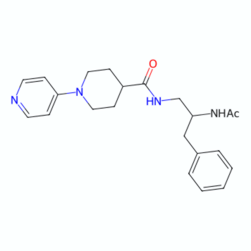 CC(=O)NC(CNC(=O)C1CCN(c2ccncc2)CC1)Cc1ccccc1